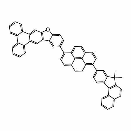 CC1(C)c2cc(-c3ccc4ccc5c(-c6ccc7oc8cc9c%10ccccc%10c%10ccccc%10c9cc8c7c6)ccc6ccc3c4c65)ccc2-c2c1ccc1ccccc21